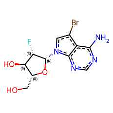 Nc1ncnc2c1c(Br)cn2[C@@H]1O[C@H](CO)[C@@H](O)[C@@H]1F